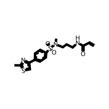 C=CC(=O)NCCCN(C)S(=O)(=O)c1ccc(-c2csc(C)n2)cc1